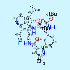 CC(C)(C)OC(=O)NCc1cccc(-n2nc(C(F)(F)F)cc2C(=O)Nc2cc(C(CCC3CC3)(N[S@+]([O-])C(C)(C)C)c3cccnc3)ccc2F)c1